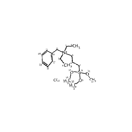 CC[N+](CC)(CCC[Si](OC)(OC)OC)Cc1ccccc1.[Cl-]